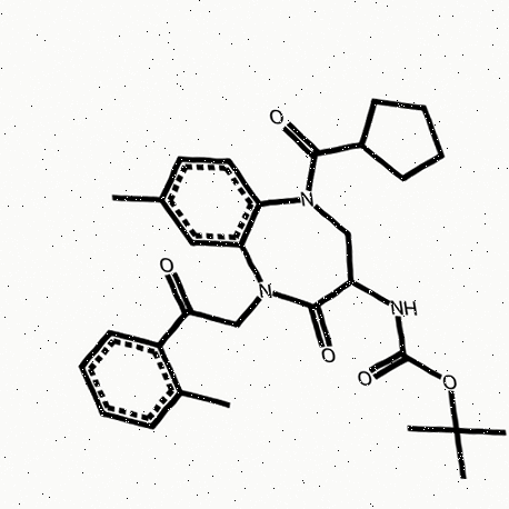 Cc1ccc2c(c1)N(CC(=O)c1ccccc1C)C(=O)C(NC(=O)OC(C)(C)C)CN2C(=O)C1CCCC1